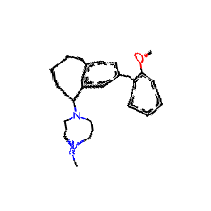 COc1ccccc1-c1ccc2c(c1)C(N1CCN(C)CC1)CCC2